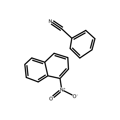 N#Cc1ccccc1.O=[N+]([O-])c1cccc2ccccc12